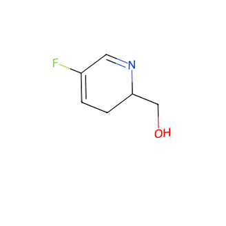 OCC1CC=C(F)C=N1